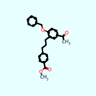 COC(=O)c1ccc(CCCc2cc(C(C)=O)ccc2OCc2ccccc2)cc1